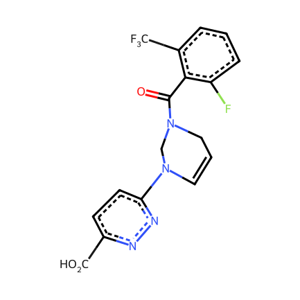 O=C(O)c1ccc(N2C=CCN(C(=O)c3c(F)cccc3C(F)(F)F)C2)nn1